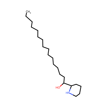 CCCCCCCCCCCCCCCC(O)C1CCCCN1